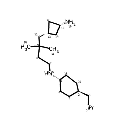 CC(C)C[C@H]1CC[C@H](NCCC(C)(C)C[C@H]2C[C@@H](N)C2)CC1